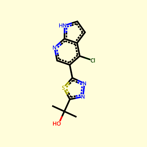 CC(C)(O)c1nnc(-c2cnc3[nH]ccc3c2Cl)s1